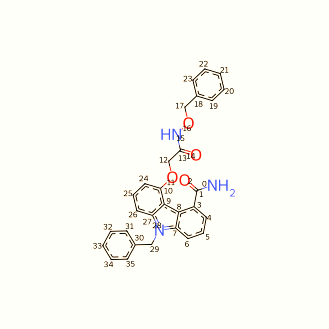 NC(=O)c1cccc2c1c1c(OCC(=O)NOCc3ccccc3)cccc1n2Cc1ccccc1